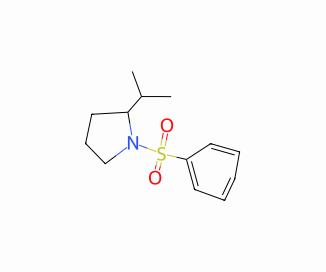 CC(C)C1CCCN1S(=O)(=O)c1ccccc1